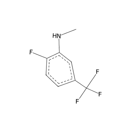 CNc1cc(C(F)(F)F)ccc1F